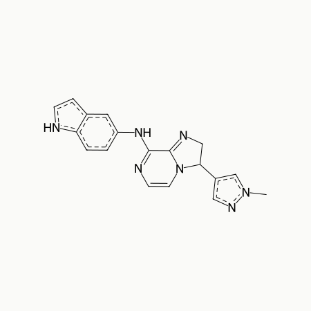 Cn1cc(C2CN=C3C(Nc4ccc5[nH]ccc5c4)=NC=CN32)cn1